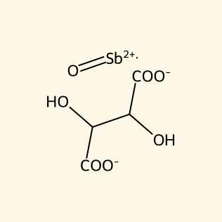 O=C([O-])C(O)C(O)C(=O)[O-].[O]=[Sb+2]